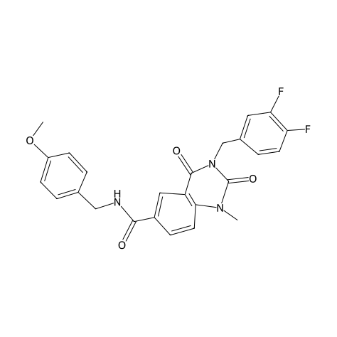 COc1ccc(CNC(=O)c2ccc3c(c2)c(=O)n(Cc2ccc(F)c(F)c2)c(=O)n3C)cc1